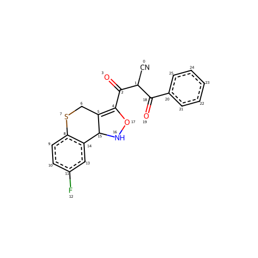 N#CC(C(=O)C1=C2CSc3ccc(F)cc3C2NO1)C(=O)c1ccccc1